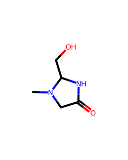 CN1CC(=O)NC1CO